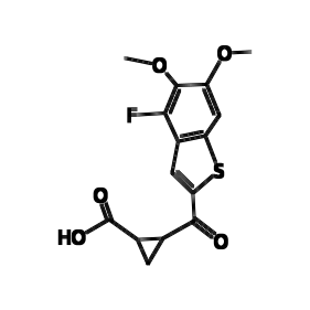 COc1cc2sc(C(=O)C3CC3C(=O)O)cc2c(F)c1OC